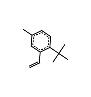 C=[C]c1cc(C)ccc1C(C)(C)C